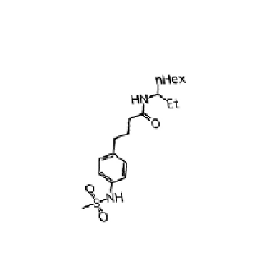 CCCCCCC(CC)NC(=O)CCCc1ccc(NS(C)(=O)=O)cc1